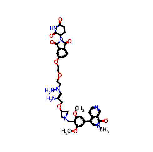 COc1cc(-c2cn(C)c(=O)c3cnccc23)cc(OC)c1CN1CC(OC/C(N)=C/N(N)CCOCCOc2ccc3c(c2)C(=O)N(C2CCC(=O)NC2=O)C3=O)C1